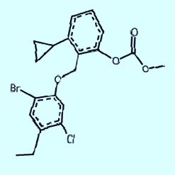 CCc1cc(Br)c(OCc2c(OC(=O)OC)cccc2C2CC2)cc1Cl